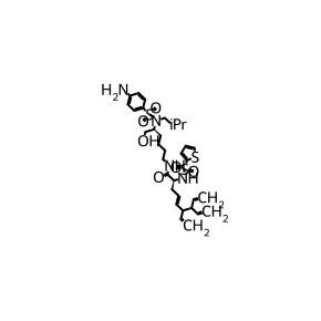 C=CC(C=C)C(C=C)/C=C/C[C@H](NS(=O)(=O)c1cccs1)C(=O)NCCCC[C@@H](CO)N(CC(C)C)S(=O)(=O)c1ccc(N)cc1